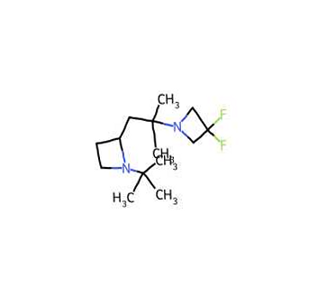 CC(C)(C)N1CCC1CC(C)(C)N1CC(F)(F)C1